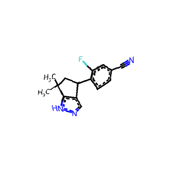 CC1(C)CC(c2ccc(C#N)cc2F)c2cn[nH]c21